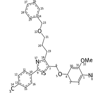 CNC1=CCC(OCc2sc(-c3ccc(C(F)(F)F)cc3)nc2CCCOCc2ccccc2)C=C1OC